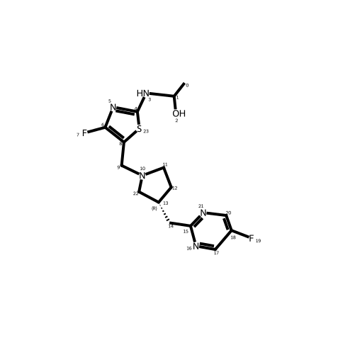 CC(O)Nc1nc(F)c(CN2CC[C@H](Cc3ncc(F)cn3)C2)s1